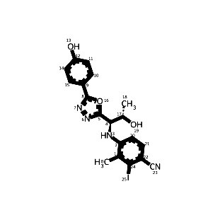 Cc1c(N[C@@H](c2nnc(-c3ccc(O)cc3)o2)[C@H](C)O)ccc(C#N)c1I